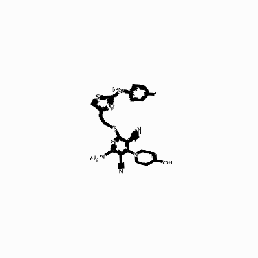 N#Cc1c(N)nc(SCc2csc(Nc3ccc(F)cc3)n2)c(C#N)c1N1CCC(O)CC1